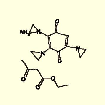 CCOC(=O)CC(C)=O.O=C1C=C(N2CC2)C(=O)C(N2CC2)=C1N1CC1.[AlH3]